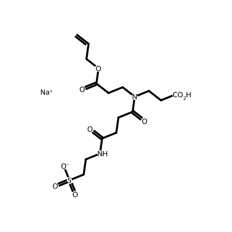 C=CCOC(=O)CCN(CCC(=O)O)C(=O)CCC(=O)NCCS(=O)(=O)[O-].[Na+]